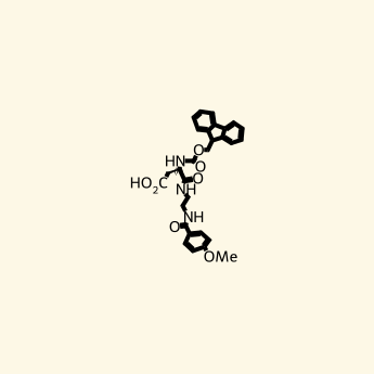 COc1ccc(C(=O)NCCNC(=O)[C@@H](CC(=O)O)NC(=O)OCC2c3ccccc3-c3ccccc32)cc1